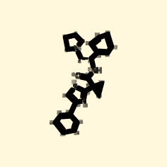 O=C(N[C@H](CN1CCCC1)c1ccccc1)C1(c2nc(-c3ccccc3)cs2)CC1